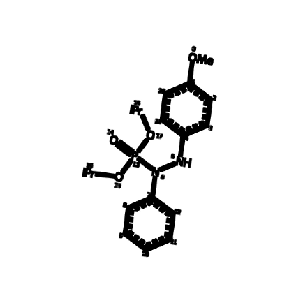 COc1ccc(NN(c2ccccc2)P(=O)(OC(C)C)OC(C)C)cc1